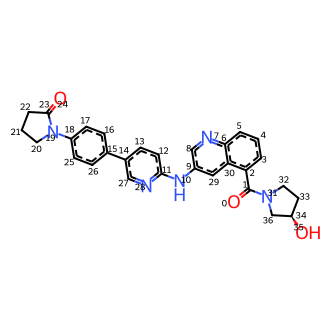 O=C(c1cccc2ncc(Nc3ccc(-c4ccc(N5CCCC5=O)cc4)cn3)cc12)N1CC[C@@H](O)C1